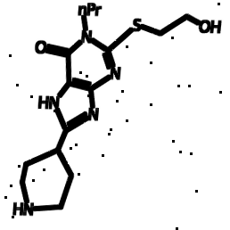 CCCn1c(SCCO)nc2nc(C3CCNCC3)[nH]c2c1=O